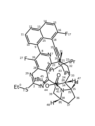 CCSc1nc2c3c(nc(-c4cccc5ccc(F)c(C#C[Si](C(C)C)(C(C)C)C(C)C)c45)c(F)c3n1)[C@@H](C)CC[C@@H]1[C@@H]3CC[C@H](CN21)N3C(=O)OC(C)(C)C